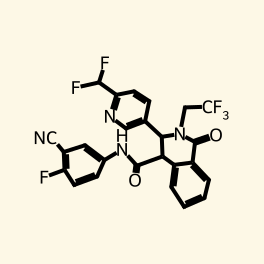 N#Cc1cc(NC(=O)C2c3ccccc3C(=O)N(CC(F)(F)F)C2c2ccc(C(F)F)nc2)ccc1F